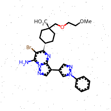 COCCOC[C@]1(C(=O)O)CC[C@H](c2nc3c(-c4cnn(-c5ccccc5)c4)cnn3c(N)c2Br)CC1